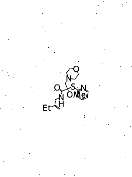 C=C(CC)CNC(=O)C(CN1CCOCC1)(OC)Sc1ccccn1